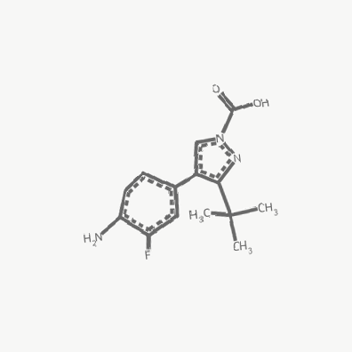 CC(C)(C)c1nn(C(=O)O)cc1-c1ccc(N)c(F)c1